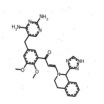 COc1cc(Cc2cnc(N)nc2N)cc(C(=O)/C=C/N2CCc3ccccc3C2c2nc[nH]n2)c1OC